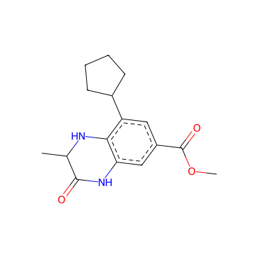 COC(=O)c1cc2c(c(C3CCCC3)c1)NC(C)C(=O)N2